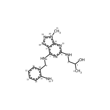 CC(O)CNc1nc(NCc2ccccc2N)c2nnn(C)c2n1